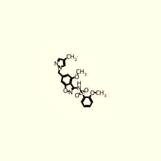 [CH2]c1cnn(Cc2cc(OC)c3c(NS(=O)(=O)c4ccccc4OC)noc3c2)c1